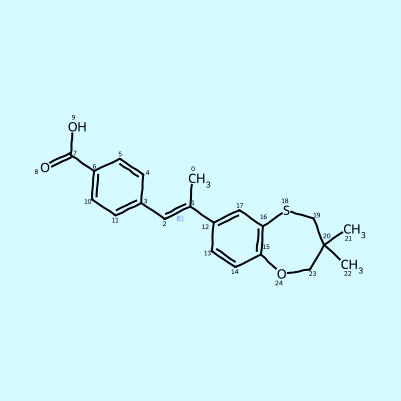 C/C(=C\c1ccc(C(=O)O)cc1)c1ccc2c(c1)SCC(C)(C)CO2